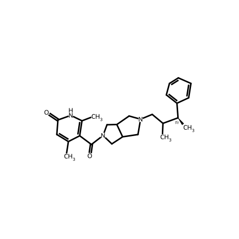 Cc1cc(=O)[nH]c(C)c1C(=O)N1CC2CN(CC(C)[C@H](C)c3ccccc3)CC2C1